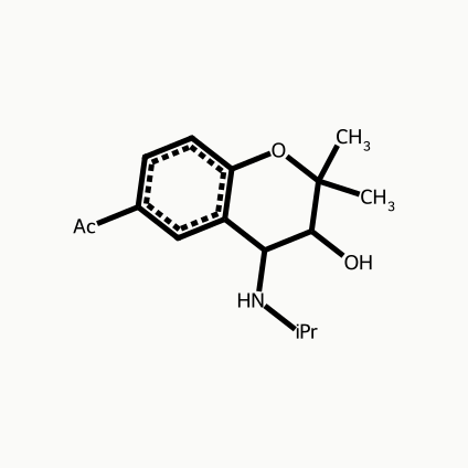 CC(=O)c1ccc2c(c1)C(NC(C)C)C(O)C(C)(C)O2